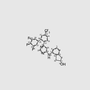 OC1Cc2cccc(Nc3cc(-c4ccc(C(F)(F)F)cc4-c4cc(F)c(F)c(F)c4)ncn3)c2C1